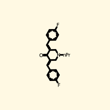 CCCN1C/C(=C\c2ccc(F)cc2)C(=O)/C(=C/c2ccc(F)cc2)C1